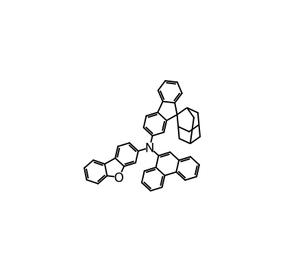 c1ccc2c(c1)-c1ccc(N(c3ccc4c(c3)oc3ccccc34)c3cc4ccccc4c4ccccc34)cc1C21C2CC3CC(C2)CC1C3